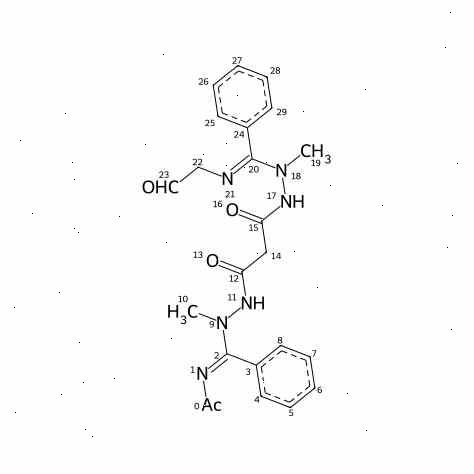 CC(=O)/N=C(\c1ccccc1)N(C)NC(=O)CC(=O)NN(C)/C(=N/CC=O)c1ccccc1